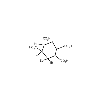 CCC1(C(=O)O)CC(C(=O)O)C(C(=O)O)C(CC)(CC)C1(CC)C(=O)O